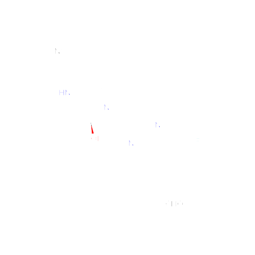 Cn1c(-c2cc3ccc(C#N)c4c3n2[C@@H](O)CN4)nc2cc(C=O)cc(F)c21